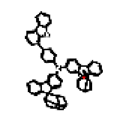 c1ccc2c(c1)-c1cc(N(c3ccc(-c4cccc5c4oc4ccccc45)cc3)c3ccc4c(c3)C3(c5ccccc5-4)C4CC5CC(C4)CC3C5)ccc1C21C2CC3CC(C2)CC1C3